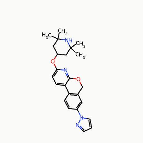 CC1(C)CC(Oc2ccc3c(n2)OCc2cc(-n4cccn4)ccc2-3)CC(C)(C)N1